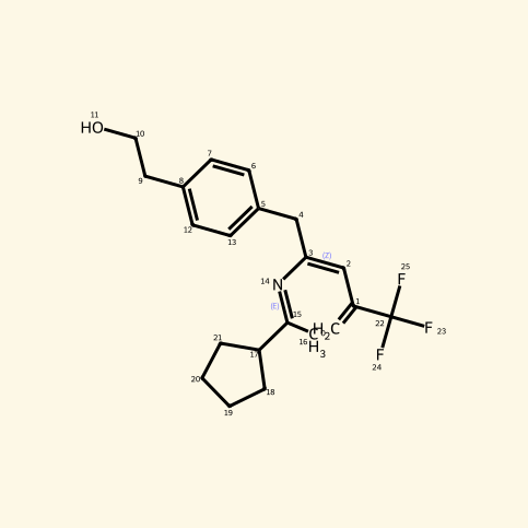 C=C(/C=C(Cc1ccc(CCO)cc1)\N=C(/C)C1CCCC1)C(F)(F)F